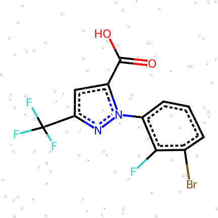 O=C(O)c1cc(C(F)(F)F)nn1-c1cccc(Br)c1F